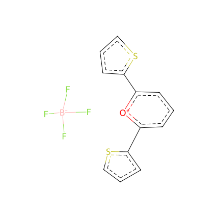 F[B-](F)(F)F.c1cc(-c2cccs2)[o+]c(-c2cccs2)c1